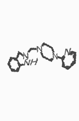 c1ccc(N2CCN(CN3Cc4ccccc4N3)CC2)nc1